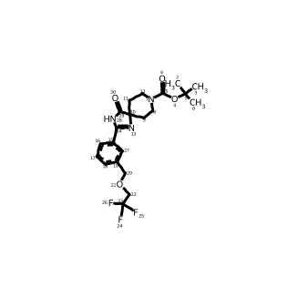 CC(C)(C)OC(=O)N1CCC2(CC1)N=C(c1cccc(COCC(F)(F)F)c1)NC2=O